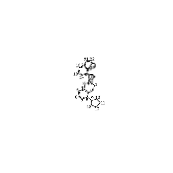 CCN(Cc1cccc(C2CCCC2)c1)Oc1cccc2ccoc12